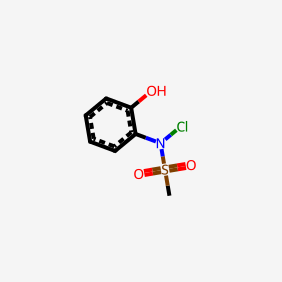 CS(=O)(=O)N(Cl)c1ccccc1O